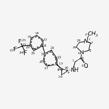 CN1CCN(C(=O)CN[C@@H]2C[C@H]2c2ccc(-c3cccc(C(F)(F)F)c3)cc2)CC1